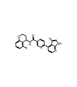 Cc1c[nH]c2nccc(-c3ccc(C(=O)NC4CCOc5cccc(F)c54)cn3)c12